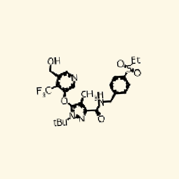 CCS(=O)(=O)c1ccc(CNC(=O)c2nn(C(C)(C)C)c(Oc3cncc(CO)c3C(F)(F)F)c2C)cc1